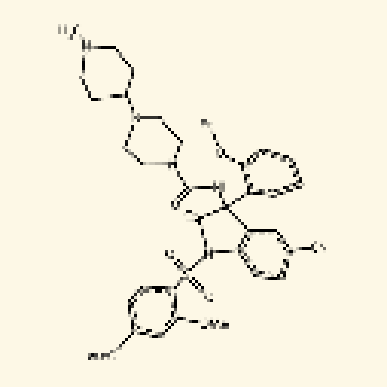 CCOc1ccccc1C1(NC(=O)N2CCN(C3CCN(C)CC3)CC2)C(=O)N(S(=O)(=O)c2ccc(OC)cc2OC)c2ccc(C#N)cc21